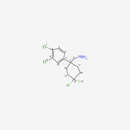 NCC1(c2ccc(Cl)c(Cl)c2)CCC(F)(F)CC1